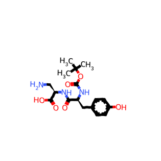 CC(C)(C)OC(=O)N[C@@H](Cc1ccc(O)cc1)C(=O)N[C@H](CN)C(=O)O